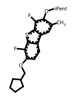 CCCCCOc1c(C)cc2c(sc3c(F)c(OCC4CCCC4)ccc32)c1F